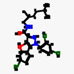 CCC(CC)CCC(C)CNC(=O)c1nn(-c2ccc(Cl)cc2Cl)c2c1oc1cc(Br)ccc12